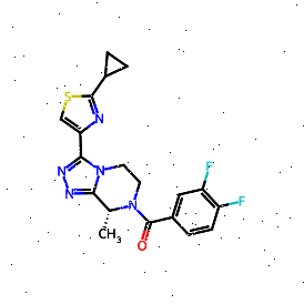 C[C@@H]1c2nnc(-c3csc(C4CC4)n3)n2CCN1C(=O)c1ccc(F)c(F)c1